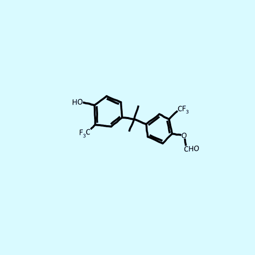 CC(C)(c1ccc(O)c(C(F)(F)F)c1)c1ccc(OC=O)c(C(F)(F)F)c1